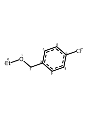 C[CH]OCc1ccc(Cl)cc1